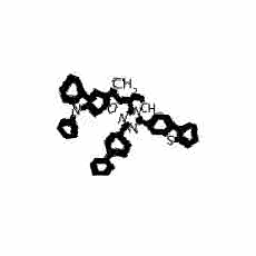 C=c1/c(=C(\C=C/C)c2nc(-c3ccc(-c4ccccc4)cc3)nc(-c3ccc4c(c3)sc3ccccc34)n2)oc2cc3c(cc12)c1ccccc1n3-c1ccccc1